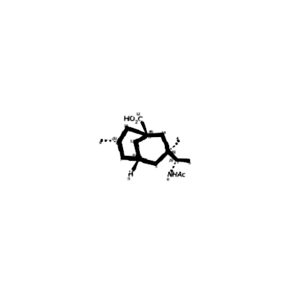 CC(=O)N[C@@H](C)[C@@]1(C)C[C@@H]2C[C@H](C)C[C@@](C(=O)O)(C2)C1